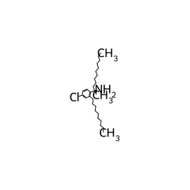 CCCCCCCCCCc1cc(Cl)ccc1C(C)(N)CCCCCCCCCC